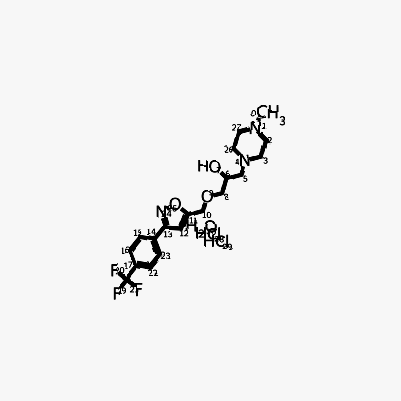 CN1CCN(CC(O)COCc2cc(-c3ccc(C(F)(F)F)cc3)no2)CC1.Cl.Cl.O